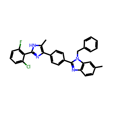 Cc1ccc2nc(-c3ccc(-c4nc(-c5c(F)cccc5Cl)[nH]c4C)cc3)n(Cc3ccccc3)c2c1